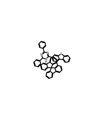 c1ccc(C2=NC(c3ccccc3)NC(c3cc(-c4cccc5c4C4(c6ccccc6-c6ccccc64)c4ccccc4-5)c4c(c3)sc3ccccc34)=N2)cc1